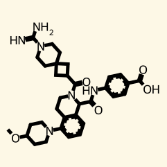 COC1CCN(c2cccc3c2CCN(C(=O)C2CC4(CCN(C(=N)N)CC4)C2)C3C(=O)Nc2ccc(C(=O)O)cc2)CC1